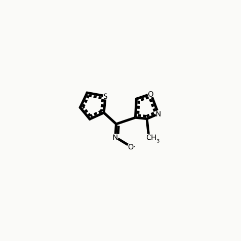 Cc1nocc1/C(=N\[O])c1cccs1